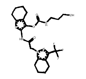 O=C(Cn1nc(C(F)(F)F)c2c1CCCC2)Nc1sc2c(c1OC(=O)NCCCO)CCCC2